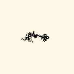 N#Cc1ncc(N2C(=O)C3(CCC3)N(Cc3ccc(-c4cn(CCCCCCCC(=O)NOC(c5ccccc5)(c5ccccc5)c5ccccc5)nn4)cc3F)C2=S)cc1C(F)(F)F